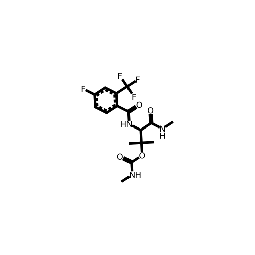 CNC(=O)OC(C)(C)C(NC(=O)c1ccc(F)cc1C(F)(F)F)C(=O)NC